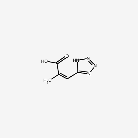 CC(=Cc1nnn[nH]1)C(=O)O